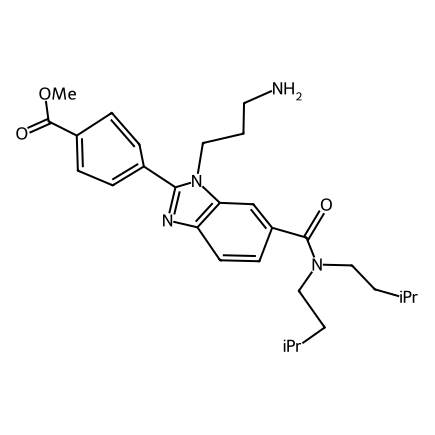 COC(=O)c1ccc(-c2nc3ccc(C(=O)N(CCC(C)C)CCC(C)C)cc3n2CCCN)cc1